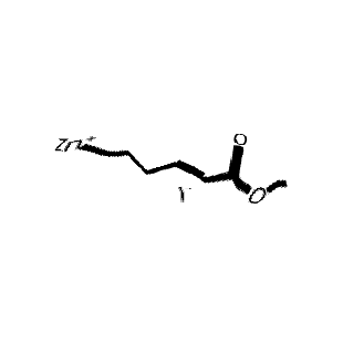 COC(=O)/C=C/CC[CH2][Zn+].[I-]